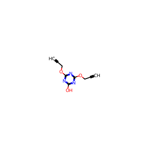 C#CCOc1nc(O)nc(OCC#C)n1